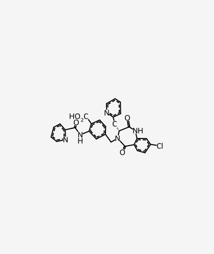 O=C(Nc1cc(CN2C(=O)c3ccc(Cl)cc3NC(=O)[C@H]2Cc2ccccn2)ccc1C(=O)O)c1ccccn1